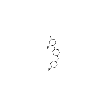 CC1CCC(C2CCC(CC3CCC(F)CC3)CC2)C(F)C1